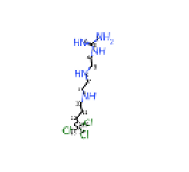 N=C(N)NCCNCCNCCC[Si](Cl)(Cl)Cl